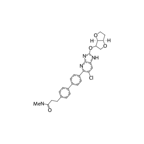 CNC(=O)CCc1ccc(-c2ccc(-c3nc4nc(OC5CO[C@@H]6CCO[C@H]56)[nH]c4cc3Cl)cc2)cc1